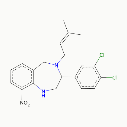 CC(C)=CCN1Cc2cccc([N+](=O)[O-])c2NCC1c1ccc(Cl)c(Cl)c1